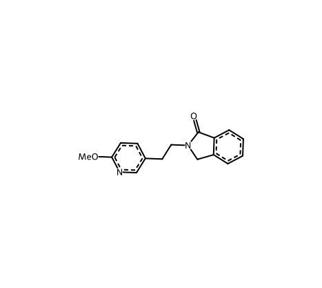 COc1ccc(CCN2Cc3ccccc3C2=O)cn1